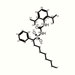 CCCCCCCCC(c1ccccc1)S(=O)(=O)NC(=O)Nc1c(C(C)C)cccc1C(C)C